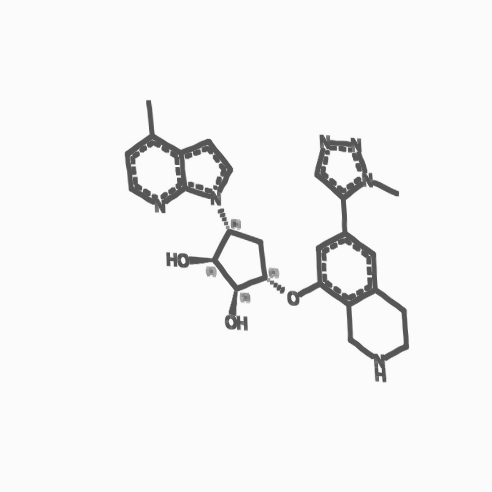 Cc1ccnc2c1ccn2[C@@H]1C[C@H](Oc2cc(-c3cnnn3C)cc3c2CNCC3)[C@@H](O)[C@H]1O